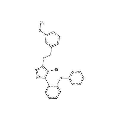 CCn1c(SCc2cccc(OC(F)(F)F)c2)nnc1-c1ccccc1Oc1ccccc1